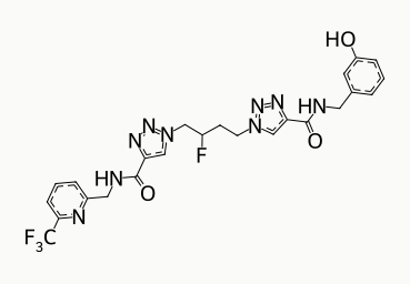 O=C(NCc1cccc(O)c1)c1cn(CCC(F)Cn2cc(C(=O)NCc3cccc(C(F)(F)F)n3)nn2)nn1